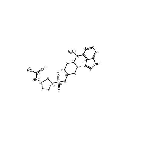 CN(c1ncnc2[nH]ccc12)C1CCC(CS(=O)(=O)N2CC[C@H](NC(=O)O)C2)CC1